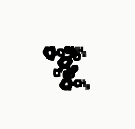 Cc1ccccc1OS(=O)(=O)c1cc(S(N)(=O)=O)c(Oc2ccccc2)cc1Cl